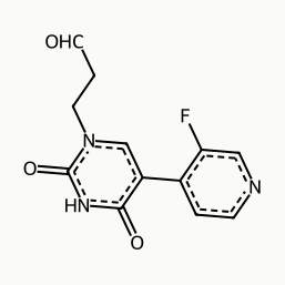 O=CCCn1cc(-c2ccncc2F)c(=O)[nH]c1=O